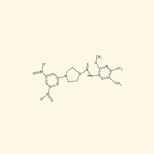 COc1nc(C)c(C)cc1NC(=S)N1CCN(c2cc([N+](=O)[O-])cc([N+](=O)[O-])c2)CC1